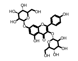 O=c1c(O[C@H]2OC(CO)[C@@H](O)C(O)C2O)c(-c2ccc(O)cc2)oc2cc(O[C@@H]3OC(CO)[C@@H](O)[C@H](O)C3O)cc(O)c12